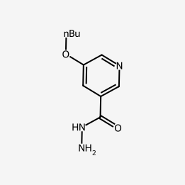 CCCCOc1cncc(C(=O)NN)c1